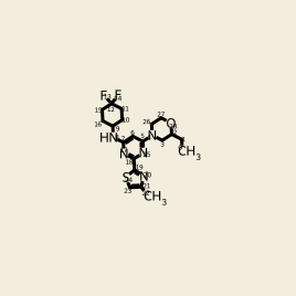 CCC1CN(c2cc(NC3CCC(F)(F)CC3)nc(-c3nc(C)cs3)n2)CCO1